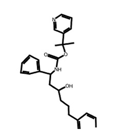 CC(C)(OC(=O)NC(CC(O)CCCc1ccccc1)c1ccccc1)c1cccnc1